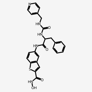 O=C(NCc1ccncc1)NC(Cc1ccccc1)C(=O)Nc1ccc2sc(C(=O)NO)cc2c1